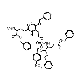 CNC(CCC(=O)NC(CCOP(=O)(NC(CCC(=O)OCc1ccccc1)C(=O)OCc1ccccc1)OCc1ccc([N+](=O)[O-])cc1)C(=O)OCc1ccccc1)C(=O)OCc1ccccc1